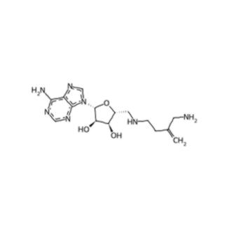 C=C(CN)CCNC[C@H]1O[C@@H](n2cnc3c(N)ncnc32)[C@H](O)[C@@H]1O